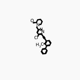 Cc1c(C#Cc2nnc(CN3CCCCC3C=O)cc2Cl)cccc1-c1ccccc1